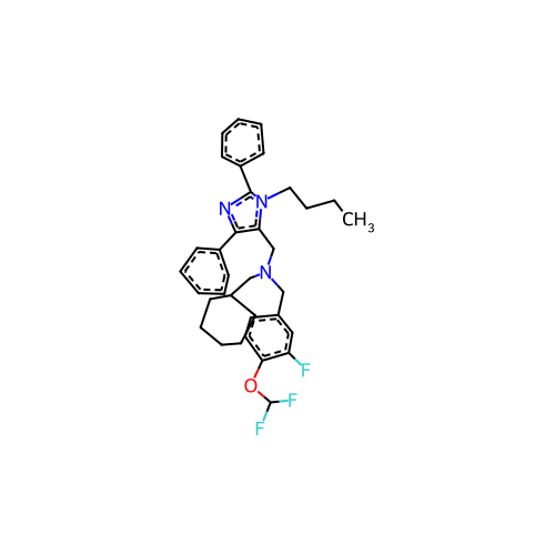 CCCCn1c(-c2ccccc2)nc(-c2ccccc2)c1CN(Cc1ccc(OC(F)F)c(F)c1)CC1CCCCC1